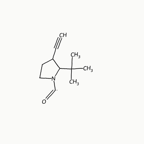 C#CC1CCN([C]=O)C1C(C)(C)C